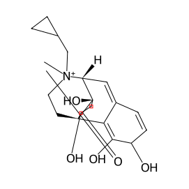 C[N+]1(CC2CC2)CC[C@@]23C4=C(O)C(O)C=CC4=C[C@@H]1[C@]2(O)CCC(=O)C3O